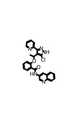 CC(Oc1ccccc1C(=O)Nc1cnc2ccccc2c1)c1c(-c2ccccn2)n[nH]c1Cl